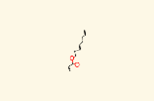 C=CCCC=CCCOC(=O)C=C